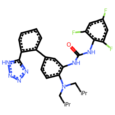 CC(C)CN(CC(C)C)c1ccc(-c2ccccc2-c2nnn[nH]2)cc1NC(=O)Nc1c(F)cc(F)cc1F